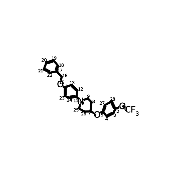 FC(F)(F)Oc1ccc(OC2CCN(c3ccc(OCc4ccccc4)cc3)CC2)cc1